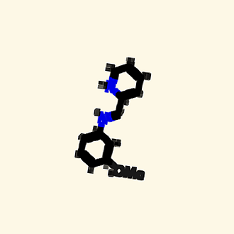 COc1cccc(N=Cc2ccccn2)c1